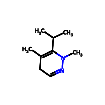 CC1=C(C(C)C)N(C)N=CC1